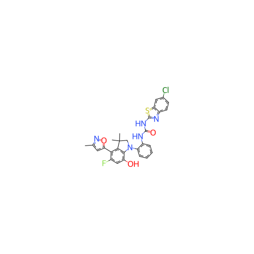 Cc1cc(-c2c(F)cc(O)c3c2C(C)(C)CN3c2ccccc2NC(=O)Nc2nc3ccc(Cl)cc3s2)on1